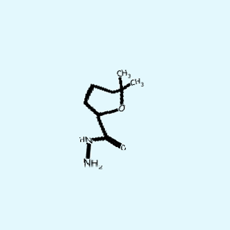 CC1(C)CCC(C(=O)NN)O1